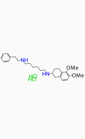 COc1ccc2c(c1OC)CCC(NCCCCCCNCCc1ccccc1)C2.Cl.Cl